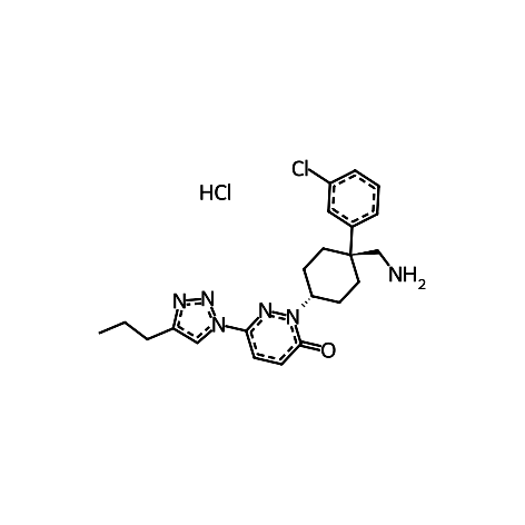 CCCc1cn(-c2ccc(=O)n([C@H]3CC[C@@](CN)(c4cccc(Cl)c4)CC3)n2)nn1.Cl